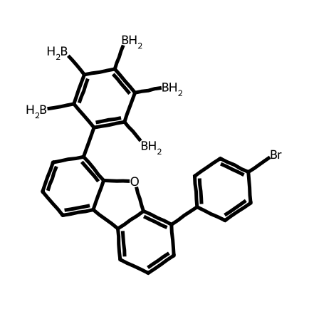 Bc1c(B)c(B)c(-c2cccc3c2oc2c(-c4ccc(Br)cc4)cccc23)c(B)c1B